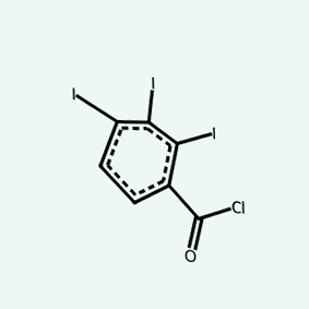 O=C(Cl)c1ccc(I)c(I)c1I